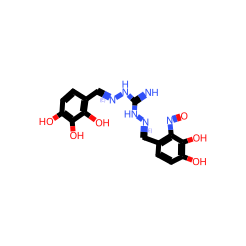 N=C(N/N=C/c1ccc(O)c(O)c1O)N/N=C/c1ccc(O)c(O)c1N=O